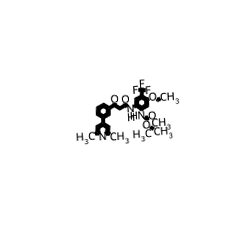 CCOc1cc(NC(=O)OC(C)(C)C)c(NC(=O)CC(=O)c2cccc(-c3cc(C)nc(C)c3)c2)cc1C(F)(F)F